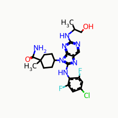 CC(CO)Nc1ncc2nc(Nc3c(F)cc(Cl)cc3F)n(C3CCC(C)(C(N)=O)CC3)c2n1